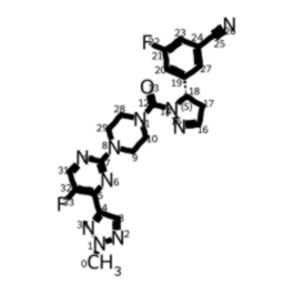 Cn1ncc(-c2nc(N3CCN(C(=O)N4N=CC[C@H]4c4cc(F)cc(C#N)c4)CC3)ncc2F)n1